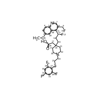 COc1ccc2ncc(CF)c([C@@H](F)CCC3(CC(=O)O)CCN(CCSc4c(F)cc(F)cc4F)CC3)c2c1